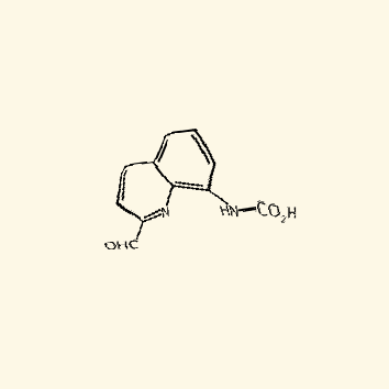 O=Cc1ccc2cccc(NC(=O)O)c2n1